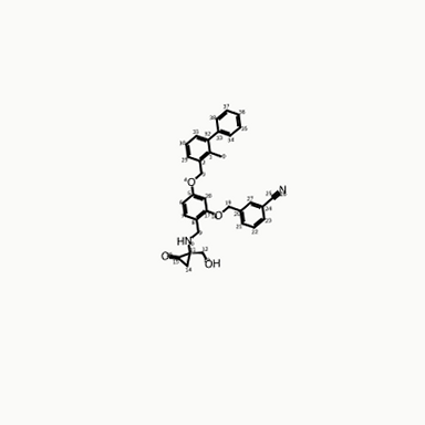 Cc1c(COc2ccc(CN[C@]3(CO)CC3=O)c(OCc3cccc(C#N)c3)c2)cccc1-c1ccccc1